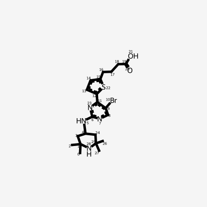 CC1(C)CC(Nc2ncc(Br)c(-c3ccc(CCCC(=O)O)s3)n2)CC(C)(C)N1